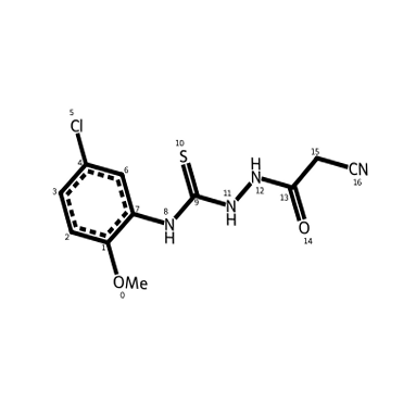 COc1ccc(Cl)cc1NC(=S)NNC(=O)CC#N